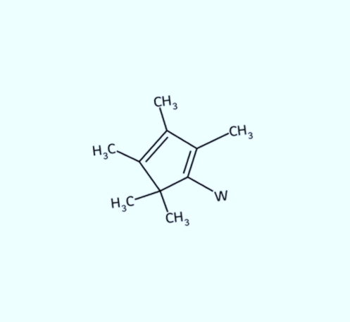 CC1=C(C)C(C)(C)[C]([W])=C1C